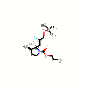 C=C1CCN(C(=O)OCCC(C)(C)C)[C@@]1(C[C@@H](F)CO[Si](C)(C)C(C)(C)C)C(=O)O